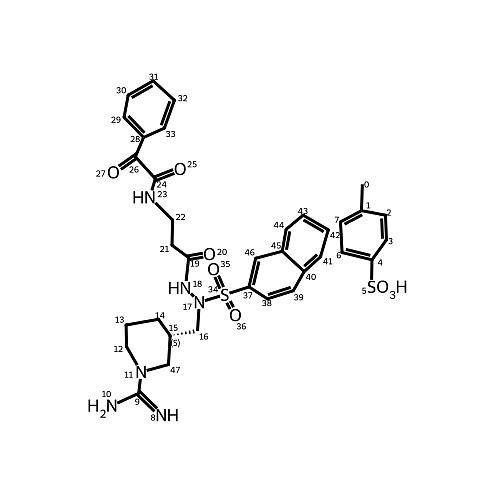 Cc1ccc(S(=O)(=O)O)cc1.N=C(N)N1CCC[C@H](CN(NC(=O)CCNC(=O)C(=O)c2ccccc2)S(=O)(=O)c2ccc3ccccc3c2)C1